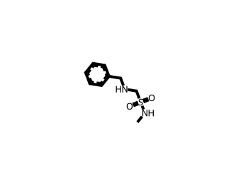 CNS(=O)(=O)CNCc1ccccc1